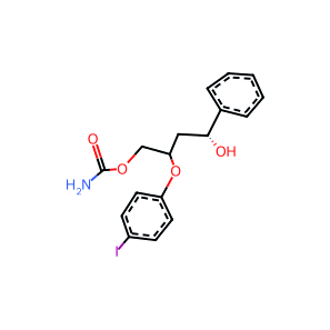 NC(=O)OCC(C[C@@H](O)c1ccccc1)Oc1ccc(I)cc1